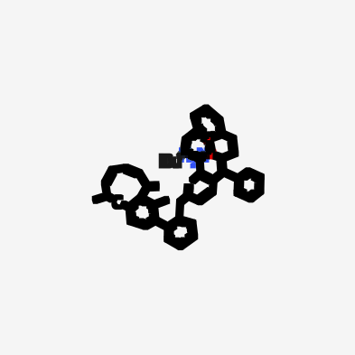 C=C(\C=C/C(C(=C1/C=Cc2ccccc2C1N)/c1ccccc1)=C(\C)c1ccccc1C(C)CC)Cc1ccccc1-c1ccc2c(c1C)C(=C)/C=C\C=C/C(C)C2